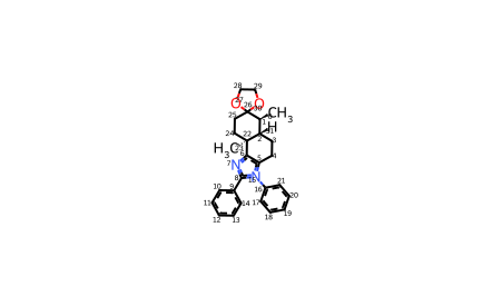 C[C@H]1[C@@H]2CCc3c(nc(-c4ccccc4)n3-c3ccccc3)[C@@]2(C)CCC12OCCO2